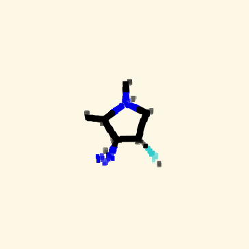 CC1[C@H](N)[C@@H](F)CN1C